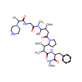 CCC(C)C(C(CC(=O)N1CCCC1C(OC)C(C)C(=O)NC(Cc1ccccc1)C(=O)NOC)OC)N(C)C(=O)CNC(=O)C(C(C)C)N1CCNCC1